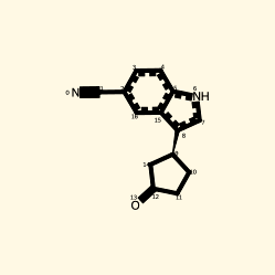 N#Cc1ccc2[nH]cc([C@H]3CCC(=O)C3)c2c1